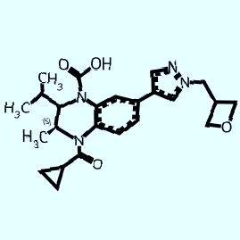 CC(C)C1[C@H](C)N(C(=O)C2CC2)c2ccc(-c3cnn(CC4COC4)c3)cc2N1C(=O)O